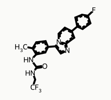 Cc1ccc(-c2cnc3cc(-c4ccc(F)cc4)ccn23)cc1NC(=O)NCC(F)(F)F